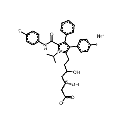 CC(C)n1c(CCC(O)C[C@@H](O)CC(=O)[O-])c(-c2ccc(F)cc2)c(-c2ccccc2)c1C(=O)Nc1ccc(F)cc1.[Na+]